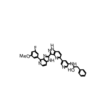 COc1cc(F)cc(-c2nccc3[nH]c(-c4n[nH]c5ccc(-c6cncc(NC(O)Cc7ccccc7)c6)nc45)nc23)c1